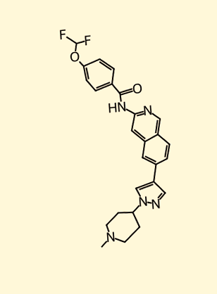 CN1CCC(n2cc(-c3ccc4cnc(NC(=O)c5ccc(OC(F)F)cc5)cc4c3)cn2)CC1